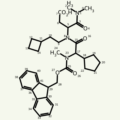 CN(C)C(=O)C(CC(=O)O)N(CCC1CCC1)C(=O)C(C1CCCC1)N(C)C(=O)OCC1c2ccccc2-c2ccccc21